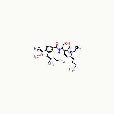 C=C(OC)c1ccc(C(=O)NC(CO)C(=C)/C=C\C(=C/CCC)NCC)cc1/C=C(/C)CCC